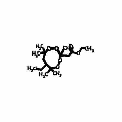 CCOC(=O)CC1(C)OOC(C)(C)CC(CC)C(C)(C)OO1